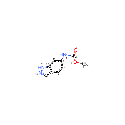 CC(C)(C)OC(=O)Nc1ccc2cn[nH]c2c1